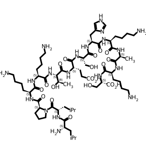 CC(C)C[C@H](NC(=O)[C@@H](N)CC(C)C)C(=O)N1CCC[C@H]1C(=O)N[C@@H](CCCCN)C(=O)N[C@@H](CCCCN)C(=O)N[C@H](C(=O)N[C@@H](CCC(=O)O)C(=O)N[C@@H](CO)C(=O)N[C@@H](Cc1c[nH]cn1)C(=O)N[C@@H](CCCCN)C(=O)N[C@@H](C)C(=O)N[C@@H](CCCCN)C(=O)N[C@@H](CO)C(=O)O)[C@@H](C)O